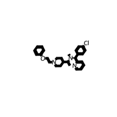 CC(C1CCN(CCOc2ccccc2)CC1)N(C)[C@@H](c1ccc(Cl)cc1)c1ccccn1